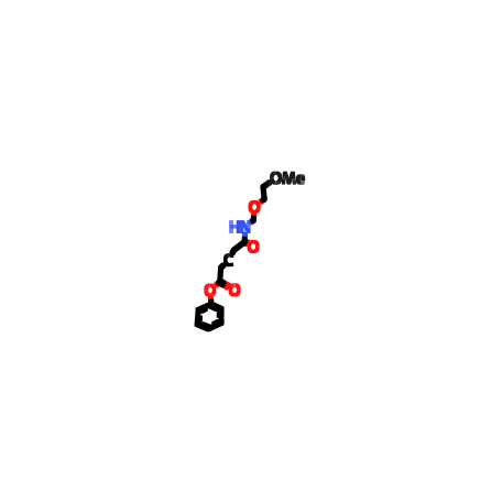 COCCOCNC(=O)CCCC(=O)Oc1ccccc1